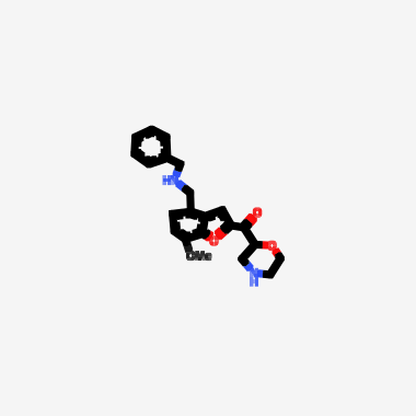 COc1ccc(CNCc2ccccc2)c2cc(C(=O)C3CNCCO3)oc12